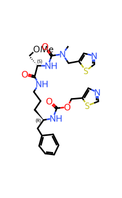 COC[C@H](NC(=O)N(C)Cc1cncs1)C(=O)NCCC[C@H](Cc1ccccc1)NC(=O)OCc1cncs1